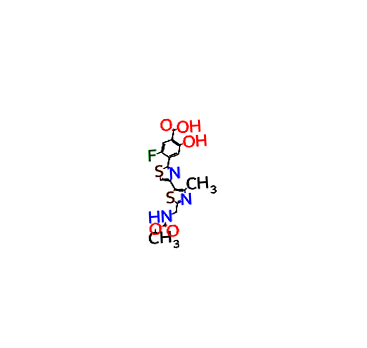 COC(=O)NCc1nc(C)c(-c2csc(-c3cc(O)c(C(=O)O)cc3F)n2)s1